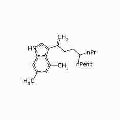 C=C(CCC(CCC)CCCCC)c1c[nH]c2cc(C)cc(C)c12